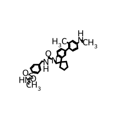 CNc1ccc(-c2ccc3c(c2)C2(CCCC2)CN3C(=O)NCc2ccc(S(=O)(=O)NC)cc2)c(C)c1